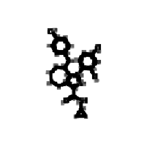 O=C(NC1CC1)c1nn(-c2ccc(Cl)cc2Cl)c2c1CCCCC2Cc1ccc(Cl)cc1